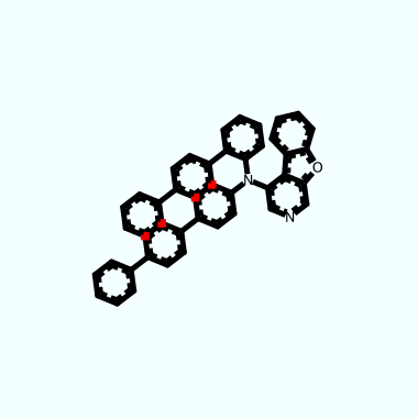 c1ccc(-c2ccc(-c3ccc(N(c4ccccc4-c4ccc(-c5ccccc5)cc4)c4cncc5oc6ccccc6c45)cc3)cc2)cc1